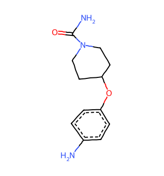 NC(=O)N1CCC(Oc2ccc(N)cc2)CC1